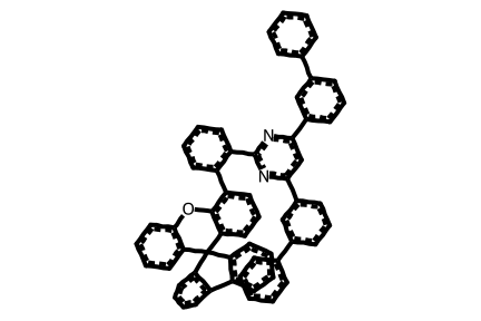 c1ccc(-c2cccc(-c3cc(-c4cccc(-c5ccccc5)c4)nc(-c4ccccc4-c4cccc5c4Oc4ccccc4C54c5ccccc5-c5ccccc54)n3)c2)cc1